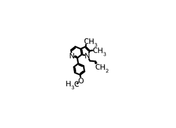 C=CCn1c(C)c(C)c2ccnc(-c3ccc(OC)cc3)c21